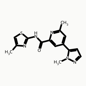 Cc1cc(-c2ccnn2C)cc(C(=O)Nc2nc(C)cs2)n1